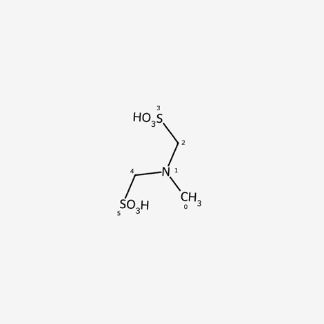 CN(CS(=O)(=O)O)CS(=O)(=O)O